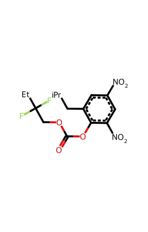 CCC(F)(F)COC(=O)Oc1c(CC(C)C)cc([N+](=O)[O-])cc1[N+](=O)[O-]